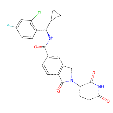 O=C1CCC(N2Cc3cc(C(=O)N[C@@H](c4ccc(F)cc4Cl)C4CC4)ccc3C2=O)C(=O)N1